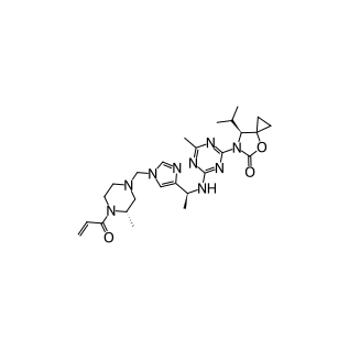 C=CC(=O)N1CCN(Cn2cnc([C@H](C)Nc3nc(C)nc(N4C(=O)OC5(CC5)[C@@H]4C(C)C)n3)c2)C[C@@H]1C